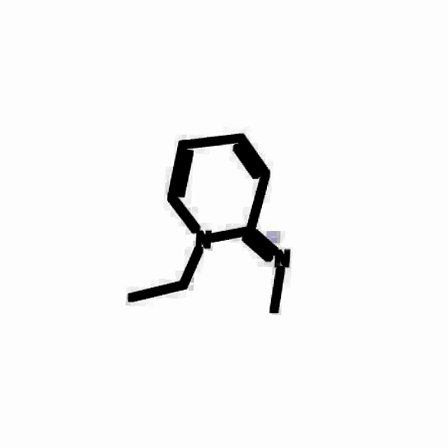 CCn1cccc/c1=N/C